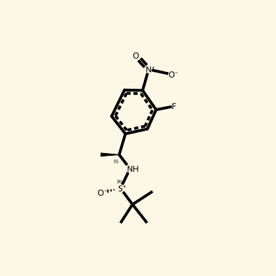 C[C@H](N[S@@+]([O-])C(C)(C)C)c1ccc([N+](=O)[O-])c(F)c1